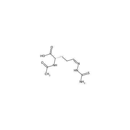 CC(=O)N[C@@H](CC/C=N\NC(N)=S)C(=O)O